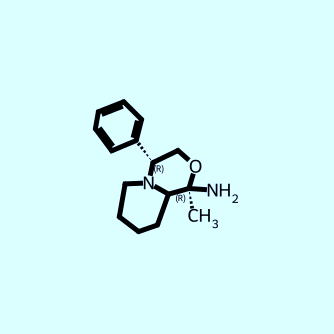 C[C@@]1(N)OC[C@@H](c2ccccc2)N2CCCCC21